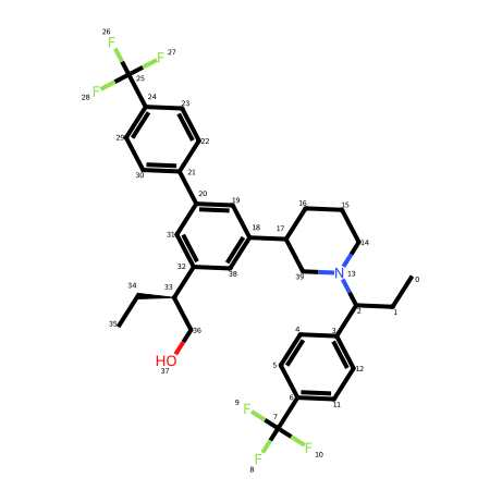 CCC(c1ccc(C(F)(F)F)cc1)N1CCCC(c2cc(-c3ccc(C(F)(F)F)cc3)cc([C@H](CC)CO)c2)C1